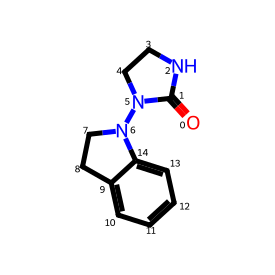 O=C1NCCN1N1CCc2ccccc21